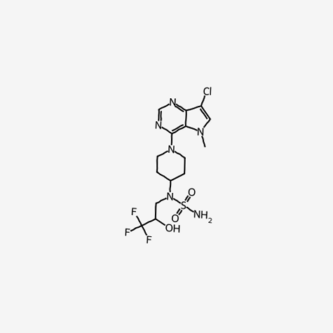 Cn1cc(Cl)c2ncnc(N3CCC(N(CC(O)C(F)(F)F)S(N)(=O)=O)CC3)c21